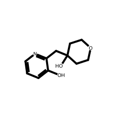 Oc1cccnc1CC1(O)CCOCC1